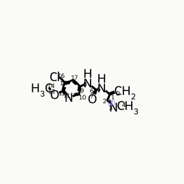 C=C(/C=N\C)NC(=O)Nc1cnc(OC)c(Cl)c1